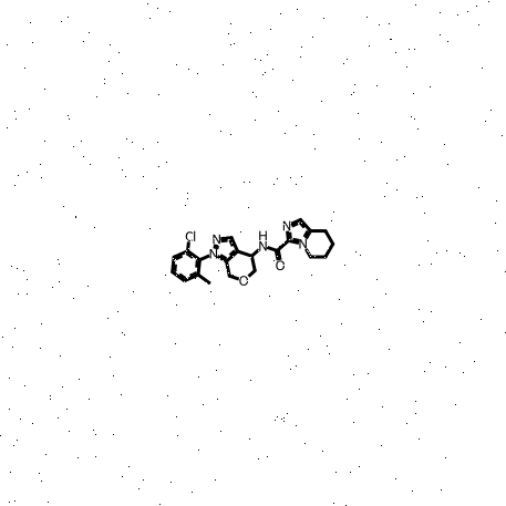 Cc1cccc(Cl)c1-n1ncc2c1COCC2NC(=O)c1ncc2n1CCCC2